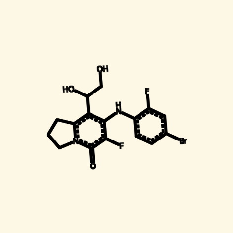 O=c1c(F)c(Nc2ccc(Br)cc2F)c(C(O)CO)c2n1CCC2